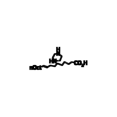 C1CNCCN1.CCCCCCCCC=CCCCCCCCC(=O)O